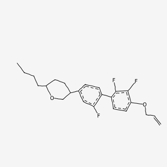 C=CCOc1ccc(-c2ccc(C3CCC(CCCC)OC3)cc2F)c(F)c1F